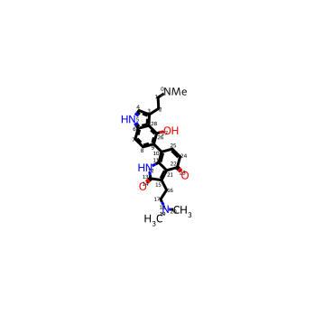 CNCCc1c[nH]c2ccc(C3=C4NC(=O)C(CCN(C)C)=C4C(=O)C=C3)c(O)c12